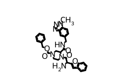 Cn1nnc2cc(CNC(=O)C3CN(C(=O)OCc4ccccc4)CCN3C(=O)C(N)c3cc4ccccc4o3)ccc21